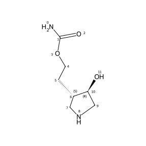 NC(=O)OCC[C@H]1CNC[C@@H]1O